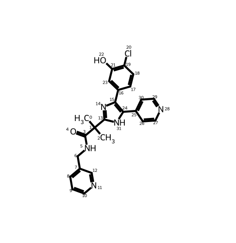 CC(C)(C(=O)NCc1cccnc1)c1nc(-c2ccc(Cl)c(O)c2)c(-c2ccncc2)[nH]1